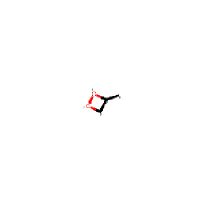 CC1COO1